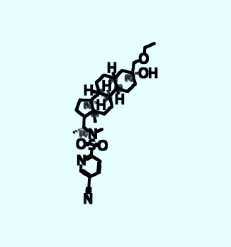 CCOC[C@@]1(O)CC[C@H]2[C@H](CC[C@@H]3[C@@H]2CC[C@]2(C)C([C@@H](C)N(C)S(=O)(=O)c4ccc(C#N)cn4)CC[C@@H]32)C1